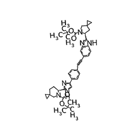 CC(C)(C)OC(=O)N1CC2(CC[C@H]1c1nc(-c3ccc(C#Cc4ccc5[nH]c([C@@H]6CC7(CC7)CN6C(=O)OC(C)(C)C)nc5c4)cc3)c[nH]1)CC2